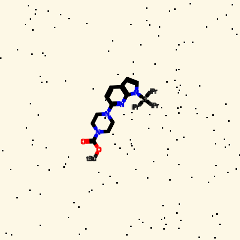 CC(C)[Si](C(C)C)(C(C)C)n1ccc2ccc(N3CCN(C(=O)OC(C)(C)C)CC3)nc21